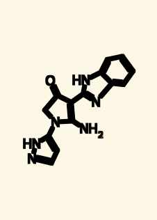 NC1=C(c2nc3ccccc3[nH]2)C(=O)CN1c1ccn[nH]1